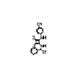 CCC(Nc1c(Nc2ccc(C#N)cc2)c(=O)c1=O)c1ccccc1